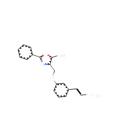 CCOC(=O)C=Cc1cccc(OCc2nc(-c3ccccc3)oc2C)c1